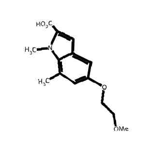 COCCOc1cc(C)c2c(c1)cc(C(=O)O)n2C